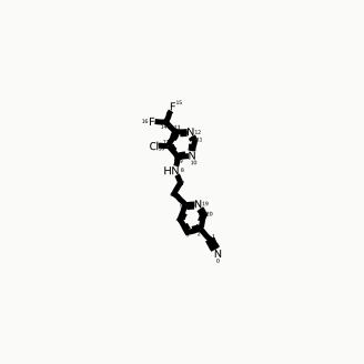 N#Cc1ccc(CCNc2ncnc(C(F)F)c2Cl)nc1